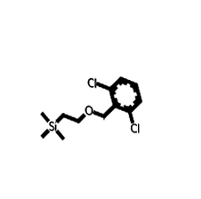 C[Si](C)(C)CCO[CH]c1c(Cl)cccc1Cl